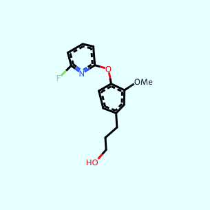 COc1cc(CCCO)ccc1Oc1cccc(F)n1